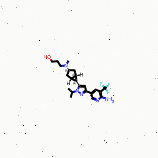 CC(C)n1nc(-c2cnc(N)c(C(F)(F)F)c2)cc1[C@H]1[C@@H]2C[C@H](N(C)CCCO)C[C@@H]21